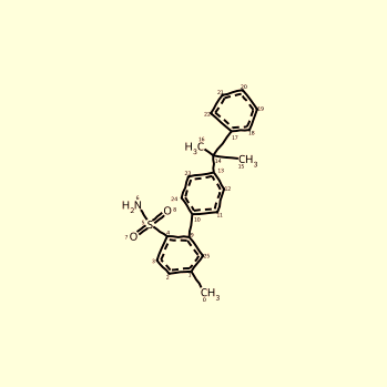 Cc1ccc(S(N)(=O)=O)c(-c2ccc(C(C)(C)c3ccccc3)cc2)c1